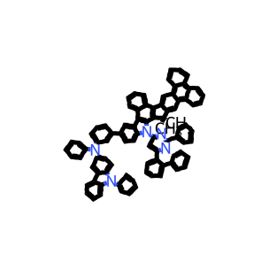 CC1(C)c2cc3c4ccccc4c4ccccc4c3cc2-c2c1c1c(c3ccccc23)c2cc(-c3cccc(N(c4ccccc4)c4ccc5c(c4)c4ccccc4n5-c4ccccc4)c3)ccc2n1-c1cc(-c2ccccc2-c2ccccc2)nc(-c2ccccc2)n1